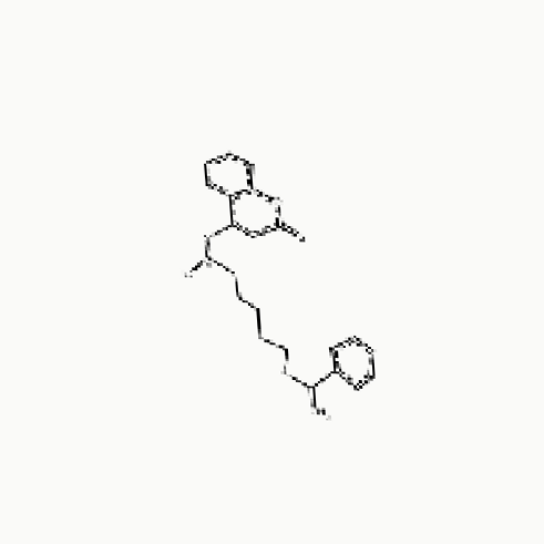 C=C(SCCCCC[C@@H](CC)Sc1cc(=S)oc2ccccc12)c1ccccc1